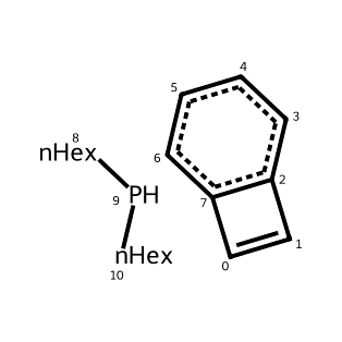 C1=Cc2ccccc21.CCCCCCPCCCCCC